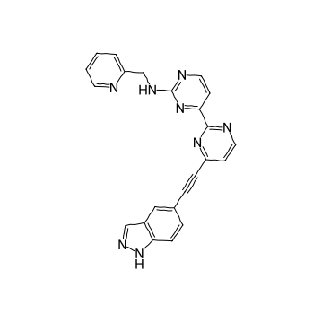 C(#Cc1ccnc(-c2ccnc(NCc3ccccn3)n2)n1)c1ccc2[nH]ncc2c1